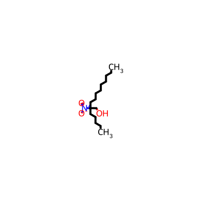 CCCCCCCCCC(CO)(CCCCC)[N+](=O)[O-]